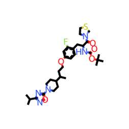 CC(C)c1noc(N2CCC(C(C)CCOc3ccc(CC(NC(=O)OC(C)(C)C)C(=O)N4CCSC4)c(F)c3)CC2)n1